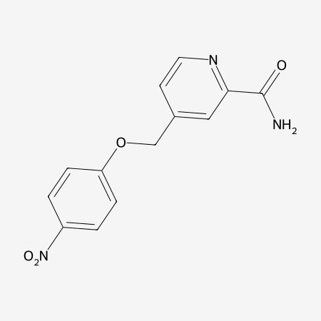 NC(=O)c1cc(COc2ccc([N+](=O)[O-])cc2)ccn1